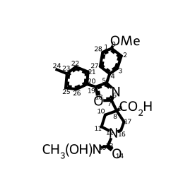 COc1ccc(-c2nc(C3(C(=O)O)CCN(C(=O)N(C)O)CC3)oc2-c2ccc(C)cc2)cc1